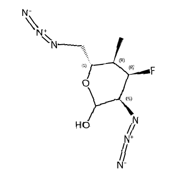 C[C@H]1[C@@H](F)[C@@H](N=[N+]=[N-])C(O)O[C@@H]1CN=[N+]=[N-]